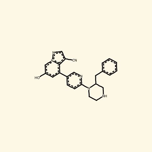 N#Cc1cnn2cc(O)cc(-c3ccc(N4CCNCC4Cc4ccccc4)nc3)c12